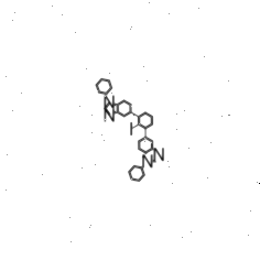 Ic1c(-c2ccc3c(c2)ncn3-c2ccccc2)cccc1-c1ccc2c(c1)ncn2-c1ccccc1